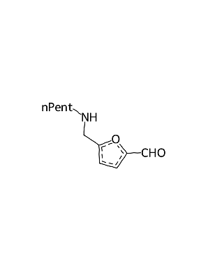 CCCCCNCc1ccc(C=O)o1